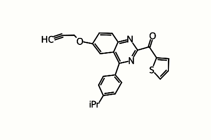 C#CCOc1ccc2nc(C(=O)c3cccs3)nc(-c3ccc(C(C)C)cc3)c2c1